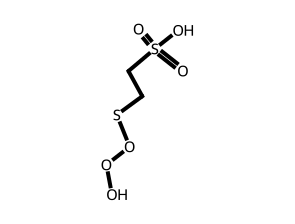 O=S(=O)(O)CCSOOO